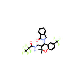 CC1(C)Oc2ccc(C(F)(F)F)cc2C(N2Cc3ccccc3C2=O)=C1CNC(=O)C(F)(F)C(F)(F)F